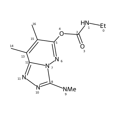 CCNC(=O)Oc1nn2c(NC)nnc2c(C)c1C